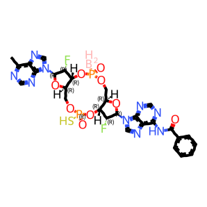 BP1(=O)OC[C@H]2O[C@@H](n3cnc4c(NC(=O)c5ccccc5)ncnc43)[C@H](F)[C@@H]2O[P@](=O)(S)OC[C@H]2O[C@@H](n3cnc4c(C)ncnc43)[C@H](F)[C@@H]2O1